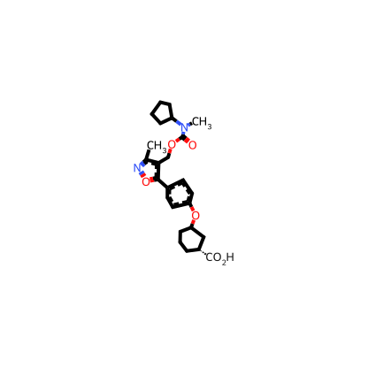 Cc1noc(-c2ccc(OC3CCC[C@@H](C(=O)O)C3)cc2)c1COC(=O)N(C)C1CCCC1